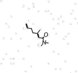 C=CCC/C(C)=C/C(=O)N(C)C